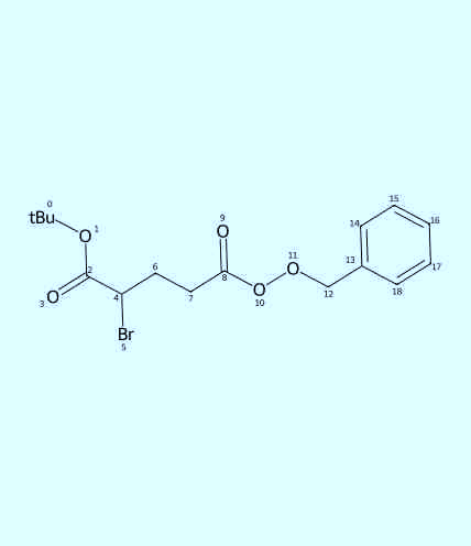 CC(C)(C)OC(=O)C(Br)CCC(=O)OOCc1ccccc1